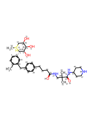 Cc1ccc([C@H]2[C@H](O)[C@H](O)[C@H](O)C[SH]2C)cc1Cc1ccc(CCCC(=O)NCC(C)(C)C(=O)NC2CCNCC2)cc1